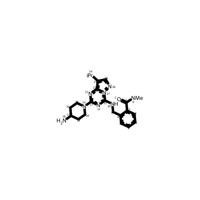 CNC(=O)c1ccccc1CNc1nc(N2CCC(N)CC2)nc2c(C(C)C)cnn12